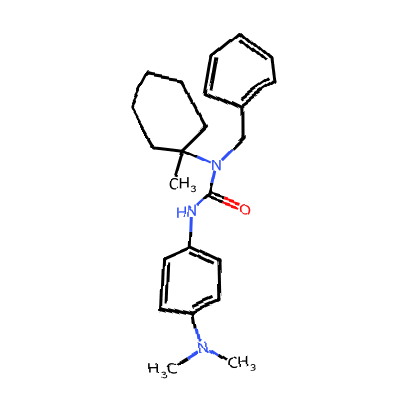 CN(C)c1ccc(NC(=O)N(Cc2ccccc2)C2(C)CCCCC2)cc1